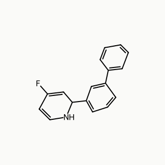 FC1=CC(c2cccc(-c3ccccc3)c2)NC=C1